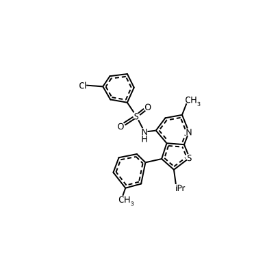 Cc1cccc(-c2c(C(C)C)sc3nc(C)cc(NS(=O)(=O)c4cccc(Cl)c4)c23)c1